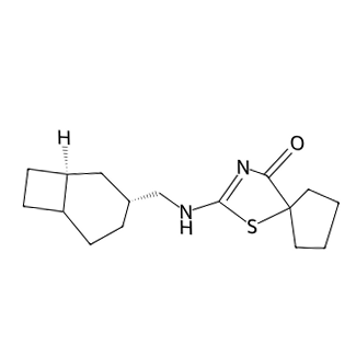 O=C1N=C(NC[C@@H]2CCC3CC[C@H]3C2)SC12CCCC2